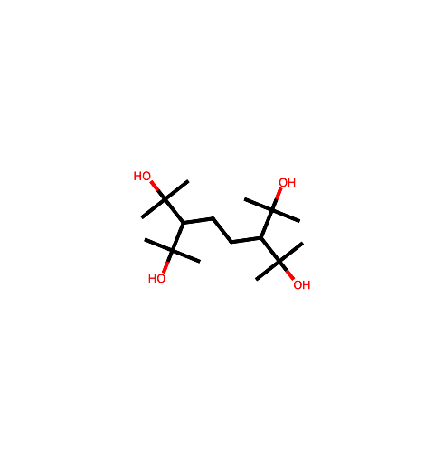 CC(C)(O)C(CCC(C(C)(C)O)C(C)(C)O)C(C)(C)O